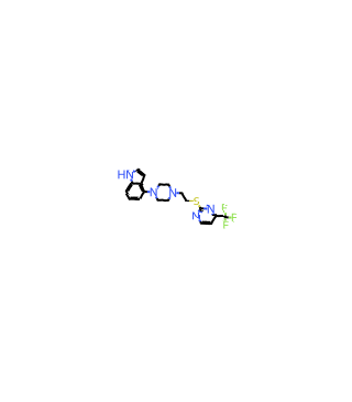 FC(F)(F)c1ccnc(SCCN2CCN(c3cccc4[nH]ccc34)CC2)n1